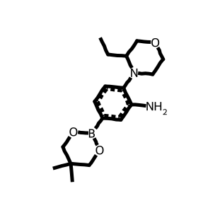 CCC1COCCN1c1ccc(B2OCC(C)(C)CO2)cc1N